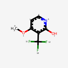 COc1ccnc(O)c1C(F)(F)F